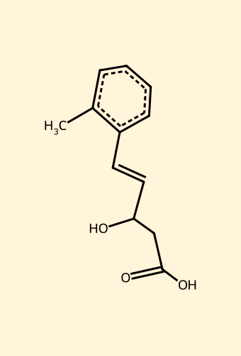 Cc1ccccc1/C=C/C(O)CC(=O)O